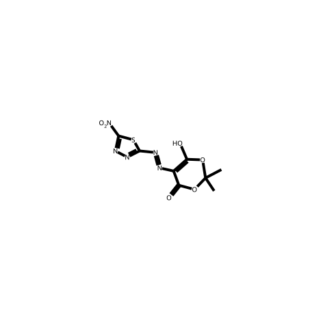 CC1(C)OC(=O)C(N=Nc2nnc([N+](=O)[O-])s2)=C(O)O1